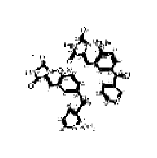 O.O=C1NC(=O)C(=Cc2cc(C(=O)c3cccnc3)ccc2[N+](=O)[O-])N1.O=C1NC(=O)C(=Cc2cc(C(=O)c3cccnc3)ccc2[N+](=O)[O-])N1